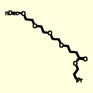 CCCCCCCCCCOCCOCCOCCOCCCC(=O)OCCC(C)C